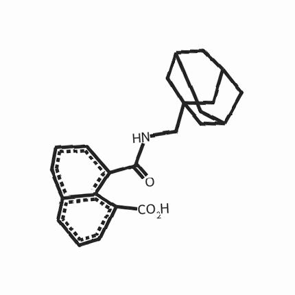 O=C(O)c1cccc2cccc(C(=O)NCC34CC5CC(CC(C5)C3)C4)c12